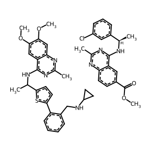 COC(=O)c1ccc2nc(C)nc(N[C@H](C)c3cccc(Cl)c3)c2c1.COc1cc2nc(C)nc(NC(C)c3ccc(-c4ccccc4CNC4CC4)s3)c2cc1OC